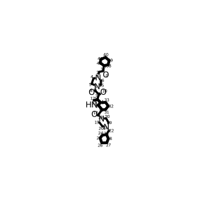 O=C(CN1CCN(C(=O)C(=O)c2c[nH]c3c(C(=O)N4CCN(Cc5ccccc5)CC4)cccc23)CC1)c1ccccc1